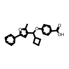 Cc1oc(-c2ccccc2)cc1C(Oc1ccc(C(=O)O)cc1)C1CCC1